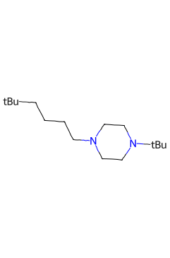 CC(C)(C)CCCCN1CCN(C(C)(C)C)CC1